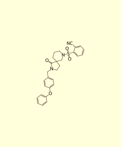 N#Cc1ccccc1S(=O)(=O)N1CCCC2(CCN(Cc3ccc(Oc4ccccc4)cc3)C2=O)C1